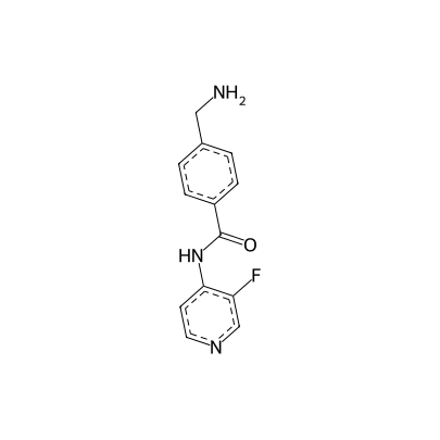 NCc1ccc(C(=O)Nc2ccncc2F)cc1